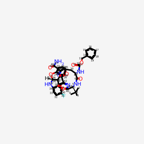 CC(C)(C)[C@@H]1NC(=O)[C@@H](NC(=O)OCc2ccccc2)Cc2ccc3c(c2)[C@@]2(c4cc(F)ccc4N[C@@H]2O3)c2oc1nc2-c1nc(C(N)=O)co1